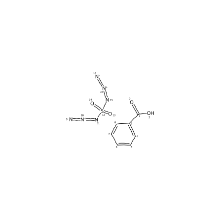 O=C(O)c1ccccc1.[N-]=[N+]=NS(=O)(=O)N=[N+]=[N-]